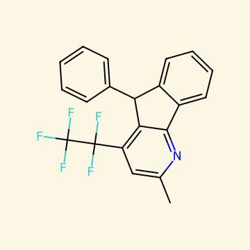 Cc1cc(C(F)(F)C(F)(F)F)c2c(n1)-c1ccccc1C2c1ccccc1